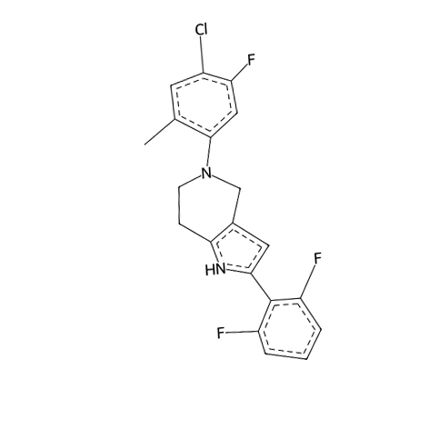 Cc1cc(Cl)c(F)cc1N1CCc2[nH]c(-c3c(F)cccc3F)cc2C1